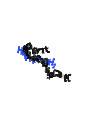 CCCCCCCCCCCCCCCCCCCCCCNCCCCC.NCCN